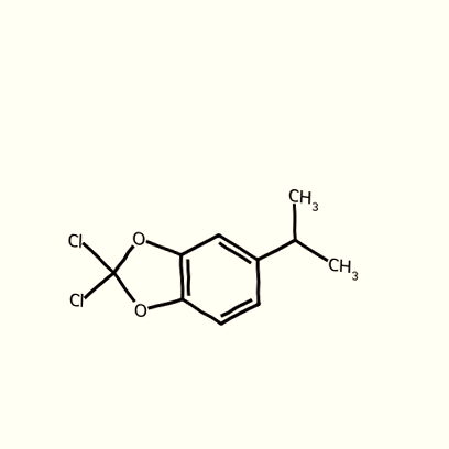 CC(C)c1ccc2c(c1)OC(Cl)(Cl)O2